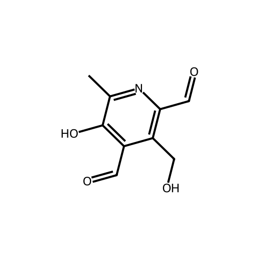 Cc1nc(C=O)c(CO)c(C=O)c1O